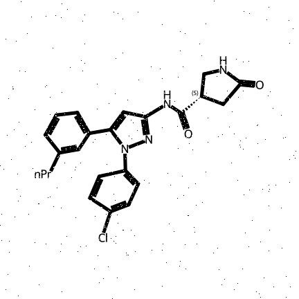 CCCc1cccc(-c2cc(NC(=O)[C@@H]3CNC(=O)C3)nn2-c2ccc(Cl)cc2)c1